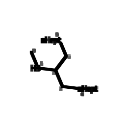 CBC(CCCCCCCC)CCCCCCCC